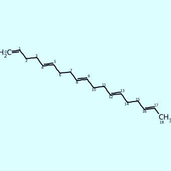 C=CCCC=CCCC=CCCC=CCCC=CC